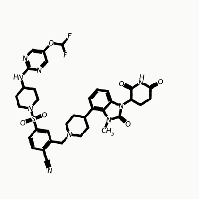 Cn1c(=O)n(C2CCC(=O)NC2=O)c2cccc(C3CCN(Cc4cc(S(=O)(=O)N5CCC(Nc6ncc(OC(F)F)cn6)CC5)ccc4C#N)CC3)c21